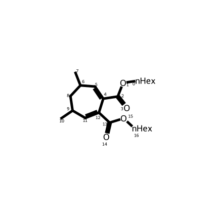 CCCCCCOC(=O)C1=CC(C)CC(C)C=C1C(=O)OCCCCCC